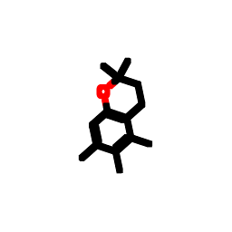 Cc1cc2c(c(C)c1C)CCC(C)(C)O2